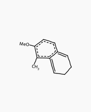 COc1ccc2c(c1C)=CCCC=2